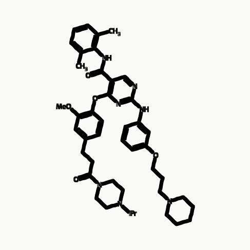 COc1cc(CCC(=O)N2CCN(C(C)C)CC2)ccc1Oc1nc(Nc2cccc(OCCCN3CCCCC3)c2)ncc1C(=O)Nc1c(C)cccc1C